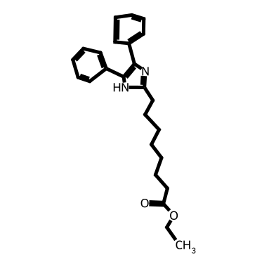 CCOC(=O)CCCCCCCc1nc(-c2ccccc2)c(-c2ccccc2)[nH]1